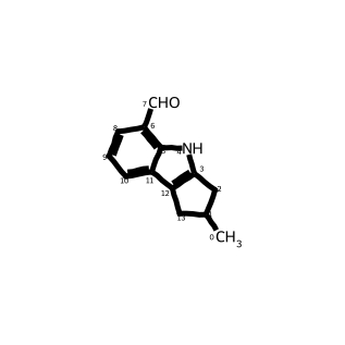 CC1Cc2[nH]c3c(C=O)cccc3c2C1